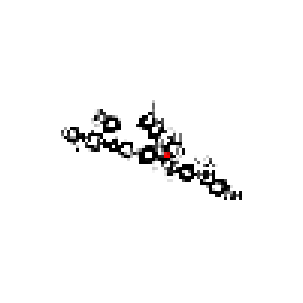 CC(C)Oc1ccccc1[C@@H]1CN([C@H]2CCOC[C@@H]2C)CCN1C1CC2(CCN(c3ccc(C(=O)NS(=O)(=O)c4ccc(NCC5CCC(C)(O)CC5)c([N+](=O)[O-])c4)c(N4c5cc6cc[nH]c6nc5O[C@H]5COCC[C@@H]54)c3)CC2)C1